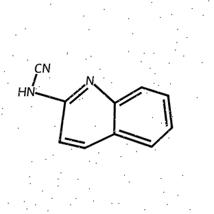 N#CNc1ccc2ccccc2n1